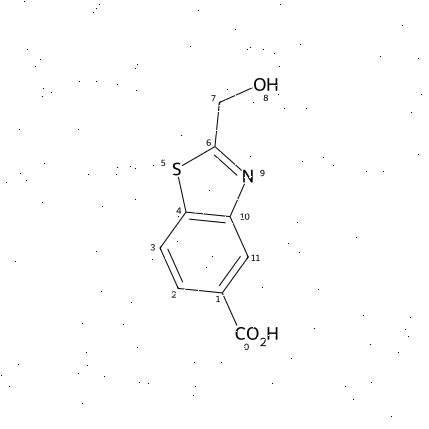 O=C(O)c1ccc2sc(CO)nc2c1